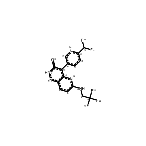 O=c1[nH]nc2ccc(NCC(F)(F)F)nc2c1-c1ccc(C(F)F)nc1